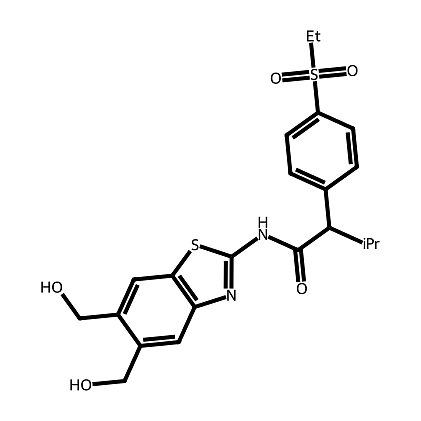 CCS(=O)(=O)c1ccc(C(C(=O)Nc2nc3cc(CO)c(CO)cc3s2)C(C)C)cc1